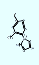 Clc1cc(I)ccc1-n1cc[c]n1